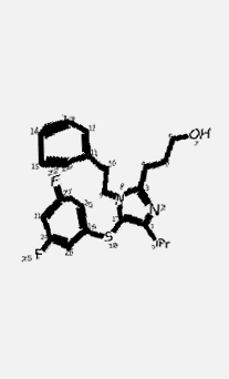 CC(C)c1nc(CCCO)n(CCc2ccccc2)c1Sc1cc(F)cc(F)c1